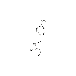 CC(=O)[C@@H](CC(C)C)NCc1ccc(C)cc1